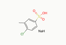 Cc1cc(S(=O)(=O)O)ccc1Cl.[NaH]